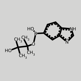 CC(C)(O)C(C)(C)OB(O)c1ccc2[nH]cnc2c1